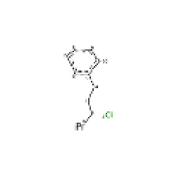 CC(C)C(Cl)CCc1ccccc1